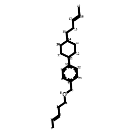 CC=CCCOCc1ccc(C2CCC(CC/C=C/C)CC2)cc1